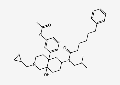 CC(=O)Oc1cccc(C23CCN(CC4CC4)CC2(O)CCC(N(CC(C)C)C(=O)CCCCCc2ccccc2)C3)c1